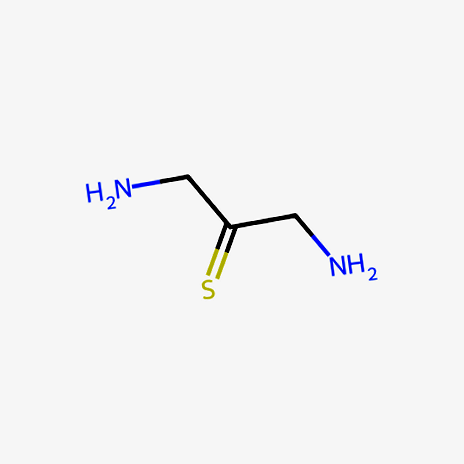 NCC(=S)CN